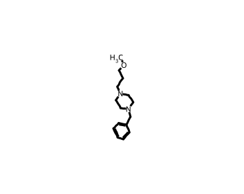 COCCCN1CCN(Cc2ccccc2)CC1